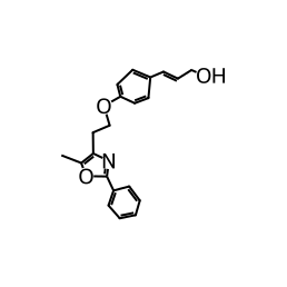 Cc1oc(-c2ccccc2)nc1CCOc1ccc(C=CCO)cc1